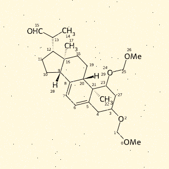 COCOC1CC2=CC=C3[C@@H]4CC[C@H](C(C)C=O)[C@@]4(C)CC[C@@H]3[C@@]2(C)C(OCOC)C1